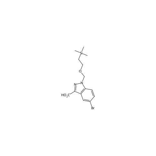 C[Si](C)(C)CCOCn1nc(C(=O)O)c2cc(Br)ccc21